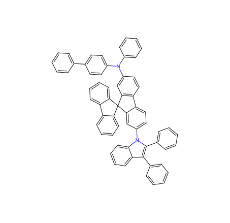 c1ccc(-c2ccc(N(c3ccccc3)c3ccc4c(c3)C3(c5ccccc5-c5ccccc53)c3cc(-n5c(-c6ccccc6)c(-c6ccccc6)c6ccccc65)ccc3-4)cc2)cc1